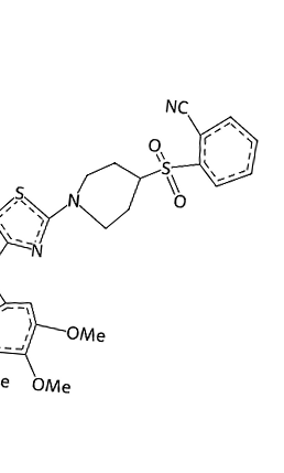 COc1cc(Cc2csc(N3CCC(S(=O)(=O)c4ccccc4C#N)CC3)n2)cc(OC)c1OC